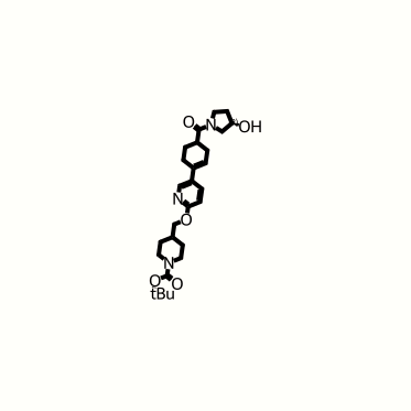 CC(C)(C)OC(=O)N1CCC(COc2ccc(C3=CCC(C(=O)N4CC[C@@H](O)C4)CC3)cn2)CC1